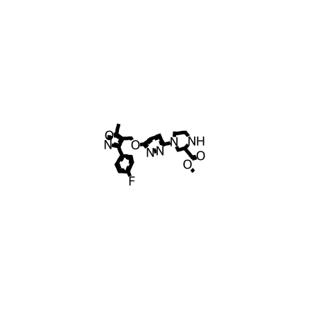 COC(=O)C1CN(c2ccc(OCc3c(-c4ccc(F)cc4)noc3C)nn2)CCN1